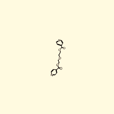 O=C(OCCOCCOC(=O)c1ccncc1)c1ccncc1